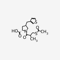 CC(=O)SCC(C)C(=O)N1CC(Cc2ccsc2)C[C@H]1C(=O)O